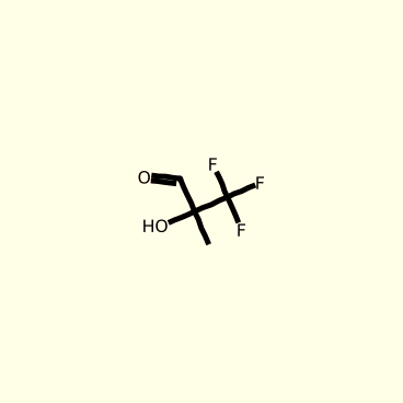 CC(O)(C=O)C(F)(F)F